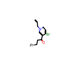 C=CC[n+]1cccc(C(=O)CCC(C)C)c1.[Br-]